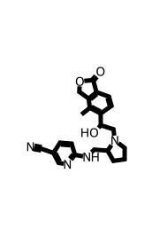 Cc1c(C(O)CN2CCCC2CNc2ccc(C#N)cn2)ccc2c1COC2=O